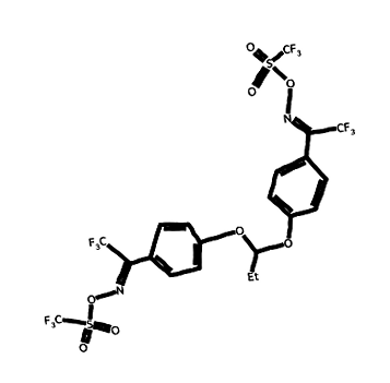 CCC(Oc1ccc(C(=NOS(=O)(=O)C(F)(F)F)C(F)(F)F)cc1)Oc1ccc(C(=NOS(=O)(=O)C(F)(F)F)C(F)(F)F)cc1